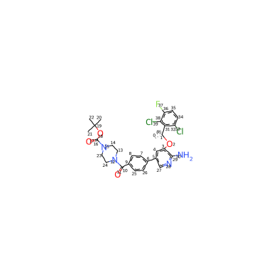 C[C@@H](Oc1cc(-c2ccc(C(=O)N3CCN(C(=O)OC(C)(C)C)CC3)cc2)cnc1N)c1c(Cl)ccc(F)c1Cl